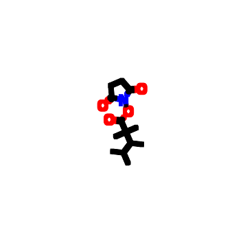 CC(C)C(C)C(C)(C)C(=O)ON1C(=O)CCC1=O